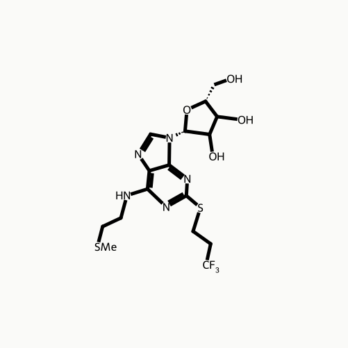 CSCCNc1nc(SCCC(F)(F)F)nc2c1ncn2[C@@H]1O[C@H](CO)C(O)C1O